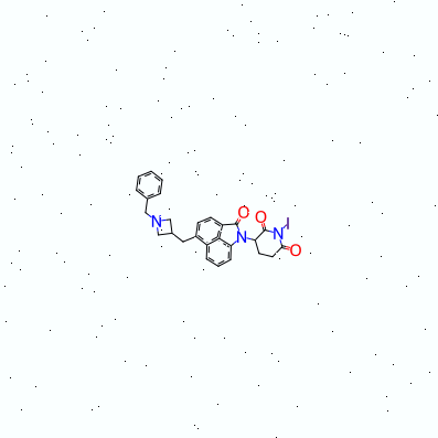 O=C1CCC(N2C(=O)c3ccc(CC4CN(Cc5ccccc5)C4)c4cccc2c34)C(=O)N1I